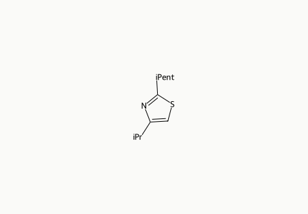 CCCC(C)c1nc(C(C)C)cs1